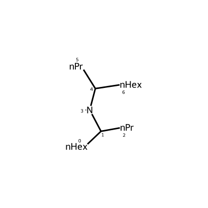 CCCCCCC(CCC)[N]C(CCC)CCCCCC